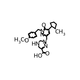 COc1ccc(Cn2nc(CN3CNCC(C(=O)O)=N3)cc(C3CCCC3C)c2=O)cc1